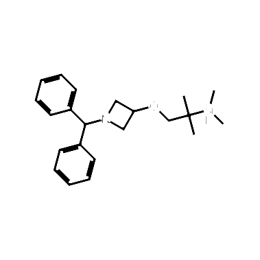 C[SiH](C)C(C)(C)COC1CN(C(c2ccccc2)c2ccccc2)C1